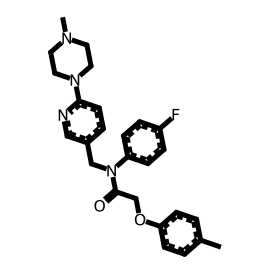 Cc1ccc(OCC(=O)N(Cc2ccc(N3CCN(C)CC3)nc2)c2ccc(F)cc2)cc1